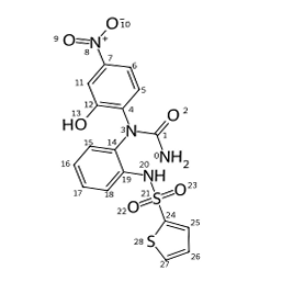 NC(=O)N(c1ccc([N+](=O)[O-])cc1O)c1ccccc1NS(=O)(=O)c1cccs1